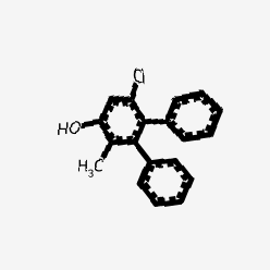 Cc1c(O)cc(Cl)c(-c2ccccc2)c1-c1ccccc1